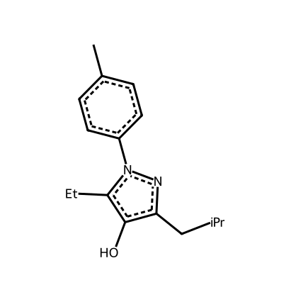 CCc1c(O)c(CC(C)C)nn1-c1ccc(C)cc1